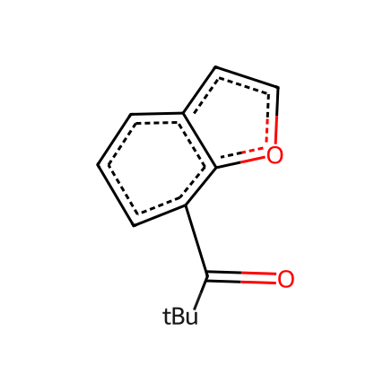 CC(C)(C)C(=O)c1cccc2ccoc12